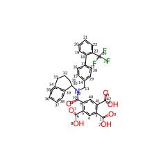 O=C(O)c1cc(C(=O)O)c(C(=O)N(Cc2ccc(-c3ccccc3C(F)(F)F)cc2)C2CCCc3ccccc32)cc1C(=O)O